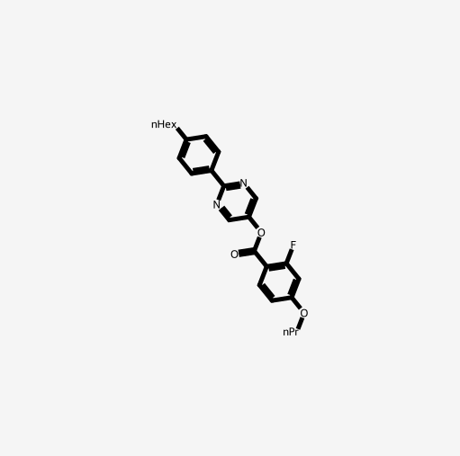 CCCCCCc1ccc(-c2ncc(OC(=O)c3ccc(OCCC)cc3F)cn2)cc1